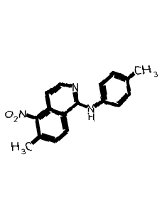 Cc1ccc(Nc2nccc3c([N+](=O)[O-])c(C)ccc23)cc1